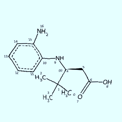 CC(C)(C)[C@H](CC(=O)O)Nc1ccccc1N